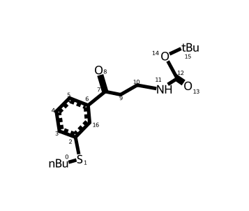 CCCCSc1cccc(C(=O)CCNC(=O)OC(C)(C)C)c1